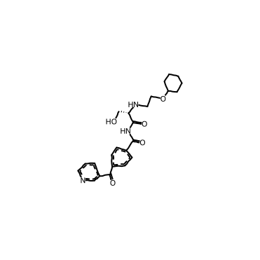 O=C(NC(=O)[C@H](CO)NCCOC1CCCCC1)c1ccc(C(=O)c2cccnc2)cc1